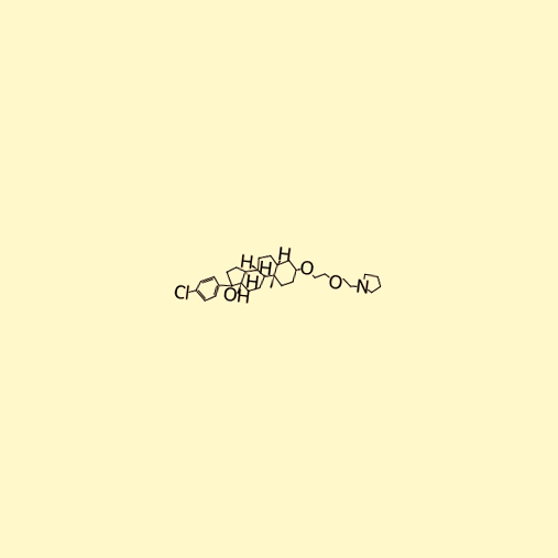 C[C@]12CC[C@H](OCCOCCN3CCCC3)C[C@H]1CC[C@@H]1[C@@H]2CC[C@@]2(C)[C@H]1CC[C@@]2(O)c1ccc(Cl)cc1